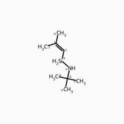 CC(C)=C[SiH2]NC(C)(C)C